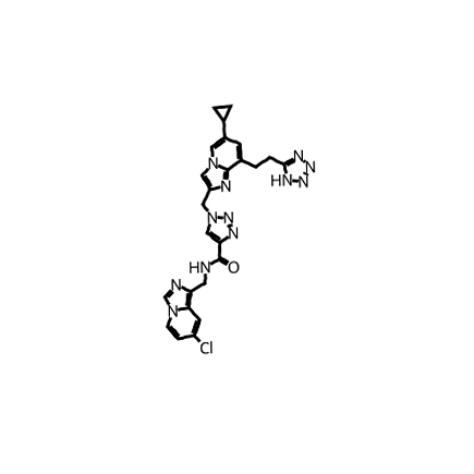 O=C(NCc1ncn2ccc(Cl)cc12)c1cn(Cc2cn3cc(C4CC4)cc(CCc4nnn[nH]4)c3n2)nn1